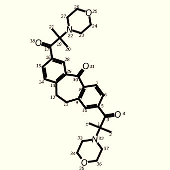 CC(C)(C(=O)c1ccc2c(c1)CCc1ccc(C(=O)C(C)(C)N3CCOCC3)cc1C2=O)N1CCOCC1